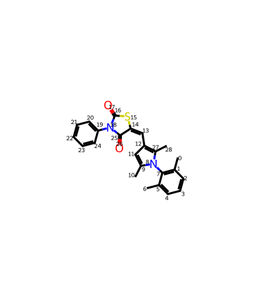 Cc1cccc(C)c1-n1c(C)cc(/C=C2/SC(=O)N(c3ccccc3)C2=O)c1C